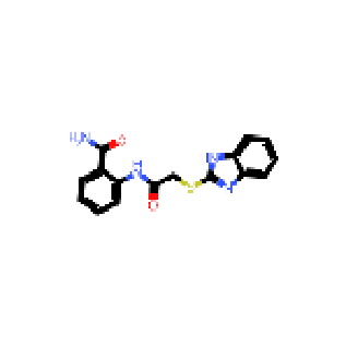 NC(=O)c1ccccc1NC(=O)CSc1nc2ccccc2[nH]1